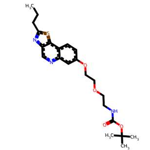 CCCc1nc2cnc3cc(OCCOCCNC(=O)OC(C)(C)C)ccc3c2s1